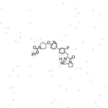 CC(C)OC(=O)N1CCC(Oc2ccc(-c3ccc(CC(N)C(=O)N4CCCC4C#N)c(F)c3)cn2)CC1